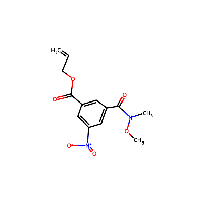 C=CCOC(=O)c1cc(C(=O)N(C)OC)cc([N+](=O)[O-])c1